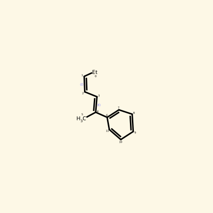 CC/C=C\C=C(/C)c1ccccc1